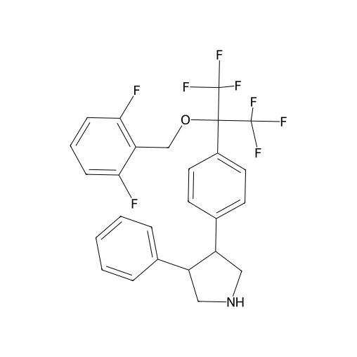 Fc1cccc(F)c1COC(c1ccc(C2CNCC2c2ccccc2)cc1)(C(F)(F)F)C(F)(F)F